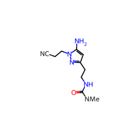 CNC(=O)NCCc1cc(N)n(CCC#N)n1